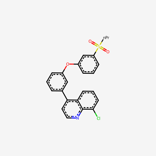 CCCS(=O)(=O)c1cccc(Oc2cccc(-c3ccnc4c(Cl)cccc34)c2)c1